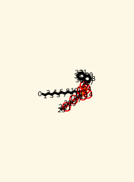 CCCCCCCCCCCCOP(=O)(OCCOCCOCC)OOc1cccc2ccccc12